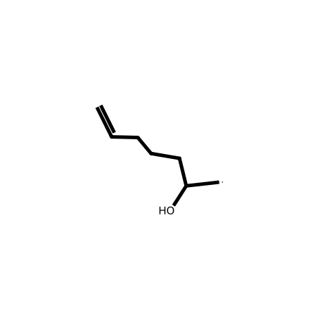 [CH2]C(O)CCCC=C